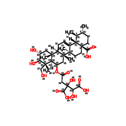 C[C@H]1[C@H](C)CC[C@]2(C(=O)O)CC[C@]3(C)C(=CC[C@@H]4[C@@]5(C)C[C@@H](O)[C@H](O)[C@@](C)(CO)[C@@H]5[C@H](OC(=O)CC(O)(C(=O)O)C(O)C(=O)O)C[C@]43C)[C@H]12